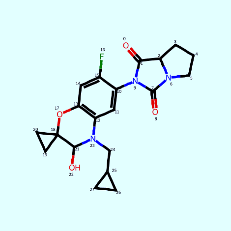 O=C1C2CCCN2C(=O)N1c1cc2c(cc1F)OC1(CC1)C(O)N2CC1CC1